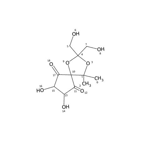 CC1(C)OC(CO)(CO)OC12C(=O)C(O)C(O)C2=O